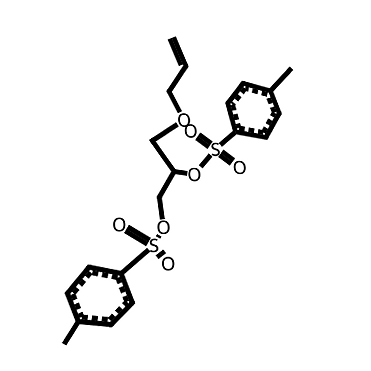 C=CCOCC(COS(=O)(=O)c1ccc(C)cc1)OS(=O)(=O)c1ccc(C)cc1